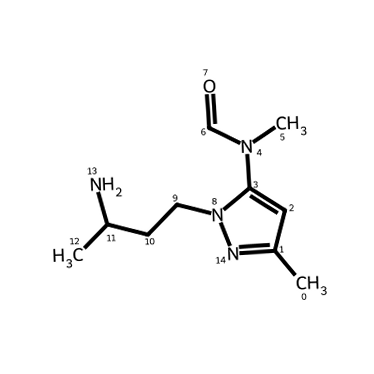 Cc1cc(N(C)C=O)n(CCC(C)N)n1